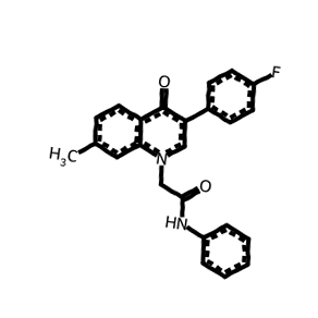 Cc1ccc2c(=O)c(-c3ccc(F)cc3)cn(CC(=O)Nc3ccccc3)c2c1